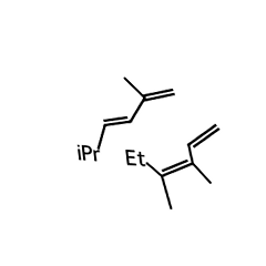 C=C(C)C=CC(C)C.C=CC(C)=C(C)CC